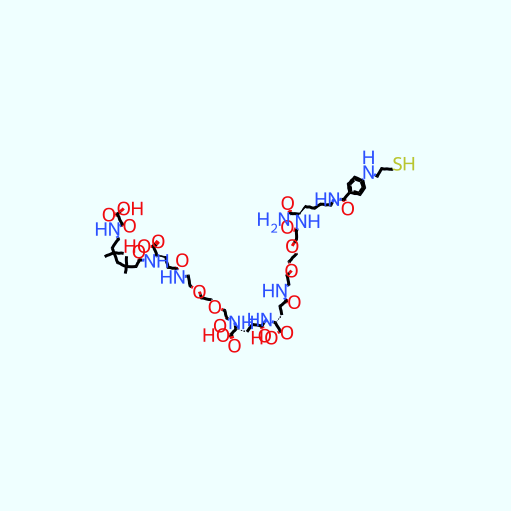 CC(C)(CCNC(=O)C(=O)O)CC(C)(C)CC(=O)N[C@H](CCC(=O)NCCOCCOCC(=O)N[C@H](CCC(=O)N[C@H](CCC(=O)NCCOCCOCC(=O)N[C@H](CCCCNC(=O)c1ccc(NCCCS)cc1)C(N)=O)C(=O)O)C(=O)O)C(=O)O